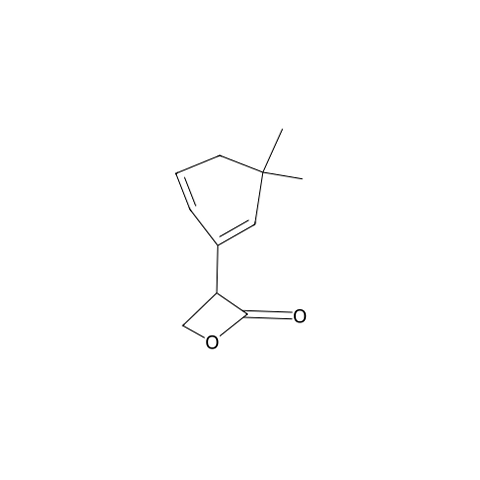 CC1(C)C=C(C2COC2=O)C=CC1